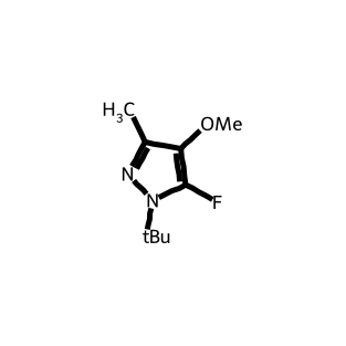 COc1c(C)nn(C(C)(C)C)c1F